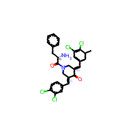 CC1CC(/C=C2\CN(C(=O)[C@@H](N)Cc3ccccc3)C/C(=C\c3ccc(Cl)c(Cl)c3)C2=O)=CC(Cl)=C1Cl